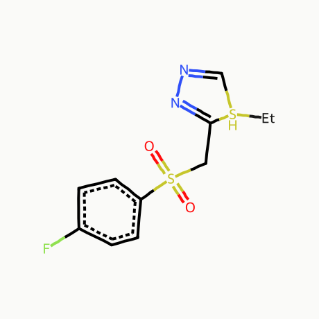 CC[SH]1C=NN=C1CS(=O)(=O)c1ccc(F)cc1